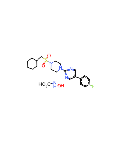 O=C(O)NO.O=S(=O)(CC1CCCCC1)N1CCN(c2ncc(-c3ccc(F)cc3)cn2)CC1